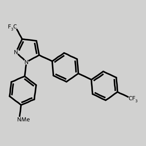 CNc1ccc(-n2nc(C(F)(F)F)cc2-c2ccc(-c3ccc(C(F)(F)F)cc3)cc2)cc1